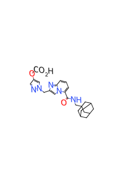 O=C(O)Oc1cnn(Cc2cn3c(C(=O)NCC45CC6CC(CC(C6)C4)C5)cccc3n2)c1